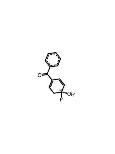 O=C(C1=CC[C@@](O)(F)C=C1)c1ccccc1